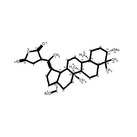 CC(=O)OC[C@]12CC/C(=C(/C)C3CC(=O)OC3=O)C1C1CCC3[C@@]4(C)CC[C@H](OC(C)=O)C(C)(C)C4CC[C@@]3(C)[C@]1(C)CC2